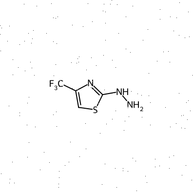 NNc1nc(C(F)(F)F)cs1